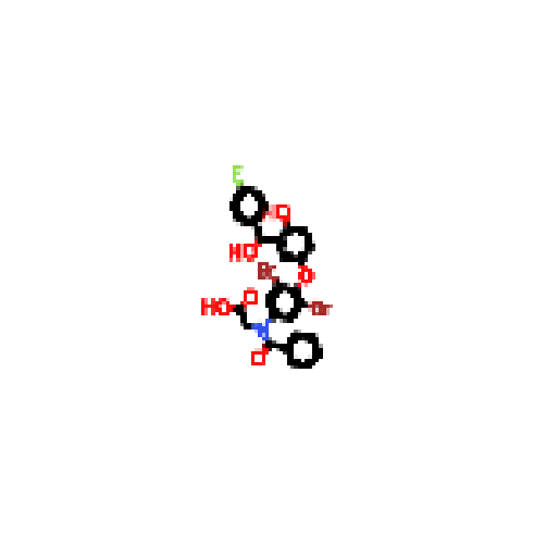 O=C(O)CN(C(=O)c1ccccc1)c1cc(Br)c(Oc2ccc(O)c(C(O)c3ccc(F)cc3)c2)c(Br)c1